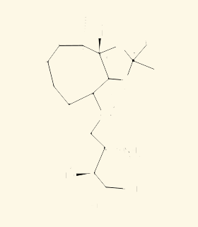 CC[C@@H](O)[C@@H](O)[C@@H](N)COC1CCCC[C@H](C)[C@@H]2OC(C)(C)O[C@@H]12